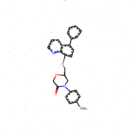 COc1ccc(N2CC(COc3ccc(-c4ccccc4)c4cccnc34)OCC2=O)cc1